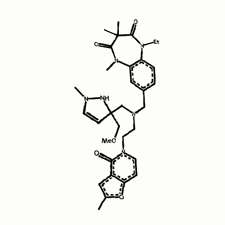 CCN1C(=O)C(C)(C)C(=O)N(C)c2cc(CN(CCn3ccc4oc(C)cc4c3=O)CC3(COC)C=CN(C)N3)ccc21